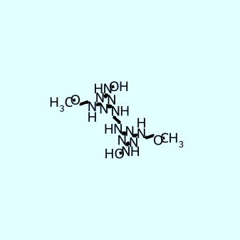 COCCNc1nc(NO)nc(NCCNc2nc(NO)nc(NCCOC)n2)n1